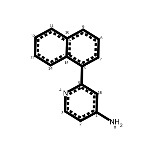 Nc1ccnc(-c2cccc3ccccc23)c1